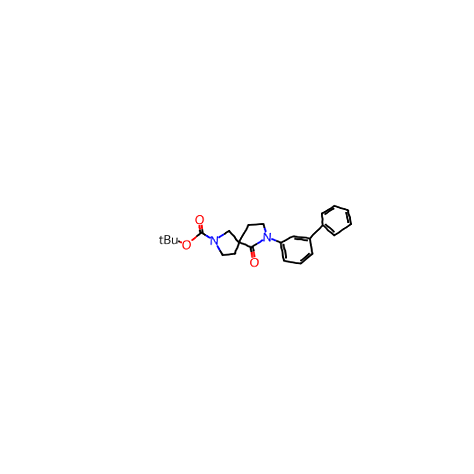 CC(C)(C)OC(=O)N1CCC2(CCN(c3cccc(-c4ccccc4)c3)C2=O)C1